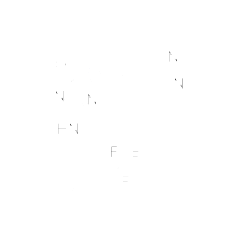 CN1C(=O)/C(=C/c2ccc3ncn(C)c3c2)N=C1NCc1ccccc1C(F)(F)F